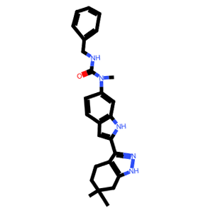 CN(C(=O)NCc1ccccc1)c1ccc2cc(-c3n[nH]c4c3CCC(C)(C)C4)[nH]c2c1